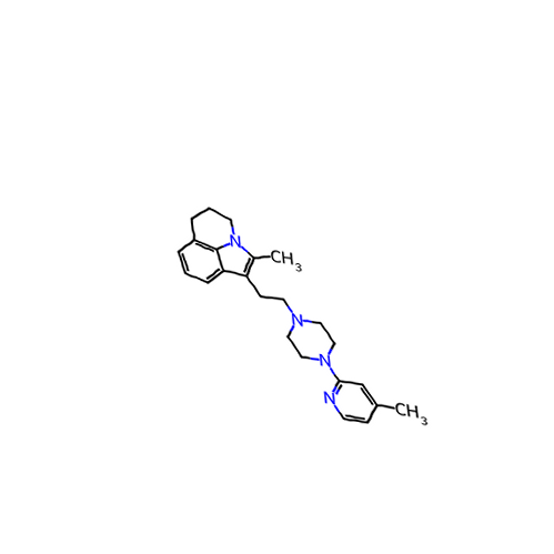 Cc1ccnc(N2CCN(CCc3c(C)n4c5c(cccc35)CCC4)CC2)c1